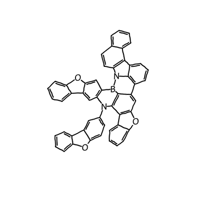 c1ccc2c(c1)ccc1c2c2cccc3c2n1B1c2cc4oc5ccccc5c4cc2N(c2ccc4oc5ccccc5c4c2)c2c1c-3cc1oc3ccccc3c21